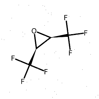 FC(F)(F)[C@@H]1O[C@@H]1C(F)(F)F